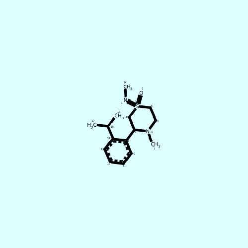 CN=S1(=O)CCN(C)C(c2ccccc2C(C)C)C1